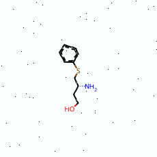 N[C@H](CCO)CSc1ccccc1